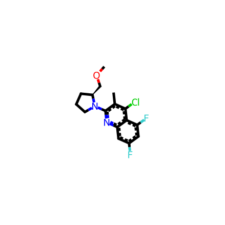 COC[C@@H]1CCCN1c1nc2cc(F)cc(F)c2c(Cl)c1C